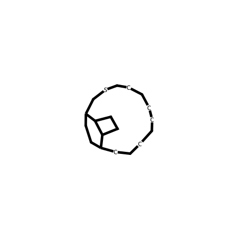 C1CCCCSCC2CCC(CCCC1)C1CCC21